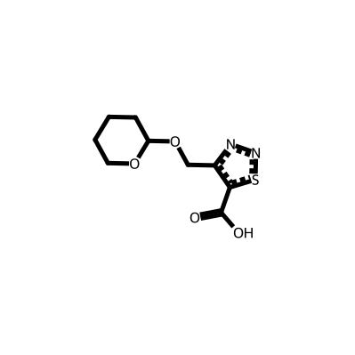 O=C(O)c1snnc1COC1CCCCO1